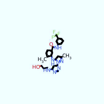 Cc1cc(Nc2cc(C(=O)Nc3cccc(C(F)(F)F)c3)ccc2C)n(-c2cc(NCCCO)ncn2)n1